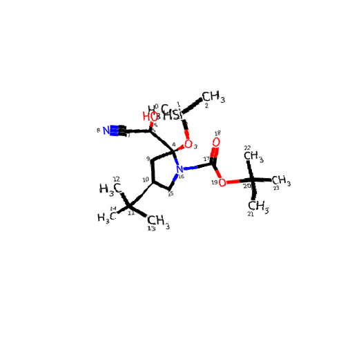 C[SiH](C)O[C@]1(C(O)C#N)C[C@H](C(C)(C)C)CN1C(=O)OC(C)(C)C